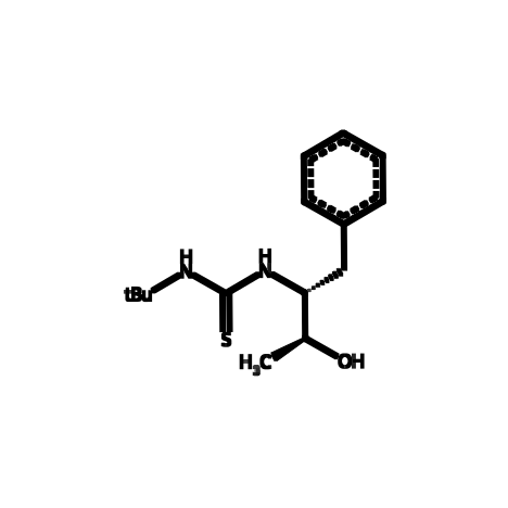 C[C@H](O)[C@@H](Cc1ccccc1)NC(=S)NC(C)(C)C